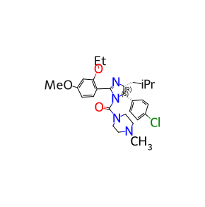 CCOc1cc(OC)ccc1C1=N[C@H](CC(C)C)[C@H](c2ccc(Cl)cc2)N1C(=O)N1CCN(C)CC1